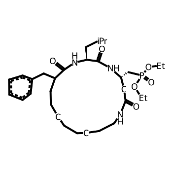 CCOP(=O)(C[C@@H]1CC(=O)NCCCCCCCCC(Cc2ccccc2)C(=O)N[C@@H](CC(C)C)C(=O)N1)OCC